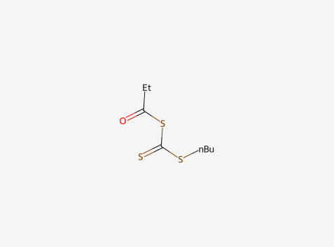 CCCCSC(=S)SC(=O)CC